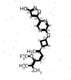 C=C(/C=C\C(OC(F)(F)F)=C(C)C)[C@H]1C[C@@H](Oc2cnc(-c3cc(O)no3)cn2)C1